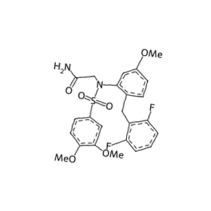 COc1ccc(Cc2c(F)cccc2F)c(N(CC(N)=O)S(=O)(=O)c2ccc(OC)c(OC)c2)c1